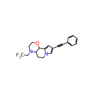 FC(F)(F)CN1CCOC2c3cc(C#Cc4ccccc4)cn3CCC21